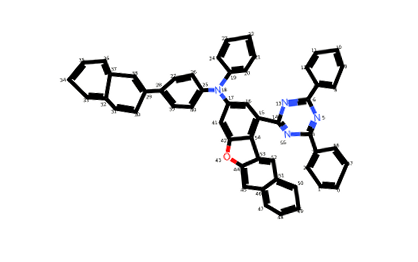 c1ccc(-c2nc(-c3ccccc3)nc(-c3cc(N(c4ccccc4)c4ccc(-c5ccc6ccccc6c5)cc4)cc4oc5cc6ccccc6cc5c34)n2)cc1